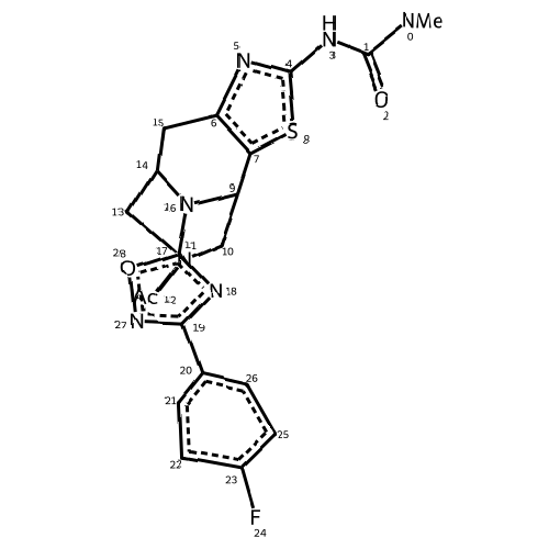 CNC(=O)Nc1nc2c(s1)C1CN(C(C)=O)CC(C2)N1c1nc(-c2ccc(F)cc2)no1